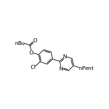 CCCCCc1cnc(-c2ccc(OC(=O)CCCC)c(Cl)c2)nc1